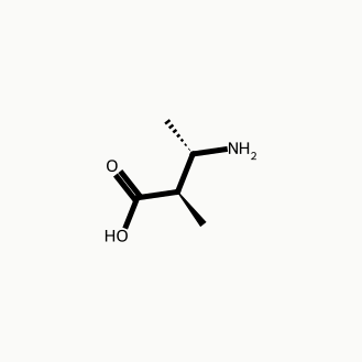 C[C@H](N)[C@@H](C)C(=O)O